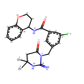 CCC1(CC)CC(=O)N(Cc2cc(F)cc(C(=O)NC3CCOc4ccccc43)c2)C(=N)N1